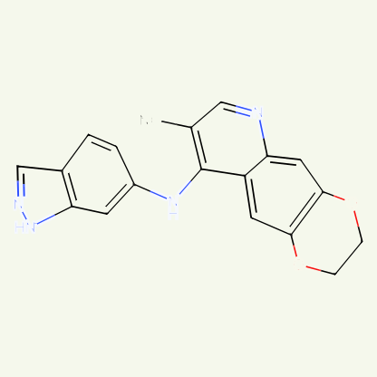 N#Cc1cnc2cc3c(cc2c1Nc1ccc2cn[nH]c2c1)OCCO3